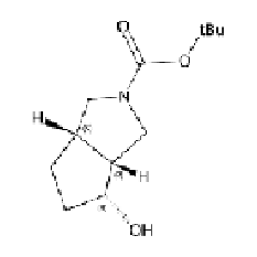 CC(C)(C)OC(=O)N1C[C@H]2CC[C@@H](O)[C@H]2C1